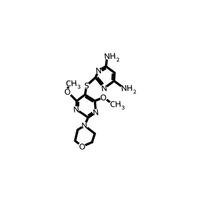 COc1nc(N2CCOCC2)nc(OC)c1Sc1nc(N)cc(N)n1